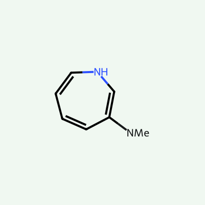 CNC1=CNC=CC=C1